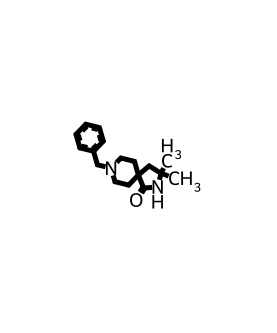 CC1(C)CC2(CCN(Cc3ccccc3)CC2)C(=O)N1